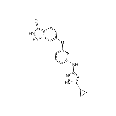 O=c1[nH][nH]c2cc(Oc3cccc(Nc4cc(C5CC5)[nH]n4)n3)ccc12